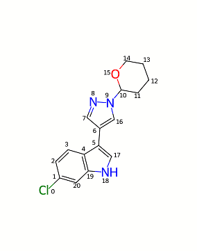 Clc1ccc2c(-c3cnn(C4CCCCO4)c3)c[nH]c2c1